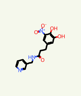 O=C(CCc1cc(O)c(O)c([N+](=O)[O-])c1)NCc1cccnc1